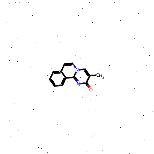 Cc1cn2ccc3ccccc3c2nc1=O